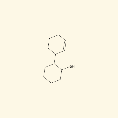 SC1CCCCC1C1C=CCCC1